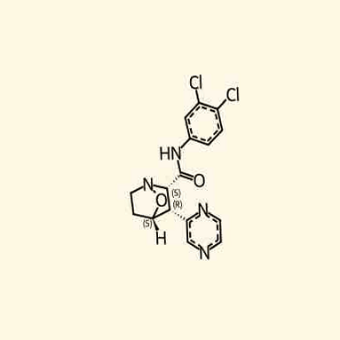 O=C(Nc1ccc(Cl)c(Cl)c1)[C@@H]1[C@H](c2cnccn2)[C@@H]2CCN1O2